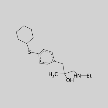 CCNCC(C)(O)Cc1ccc(SC2CCCCC2)cc1